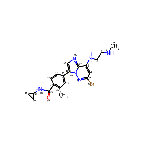 CNCCNc1cc(Br)nn2c(-c3ccc(C(=O)NC4CC4)c(C)c3)cnc12